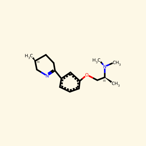 C[C@H]1CCC(c2cccc(OC[C@H](C)N(C)C)c2)=NC1